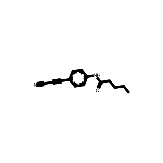 CCCCC(=O)Nc1ccc(C#CC#N)cc1